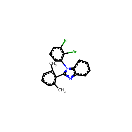 Cc1cccc(C)c1-c1nc2ccccc2n1-c1cccc(Br)c1Br